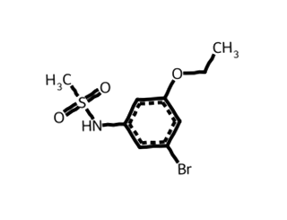 CCOc1cc(Br)cc(NS(C)(=O)=O)c1